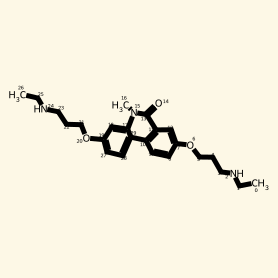 CCNCCCOc1ccc2c(c1)c(=O)n(C)c1cc(OCCCNCC)ccc21